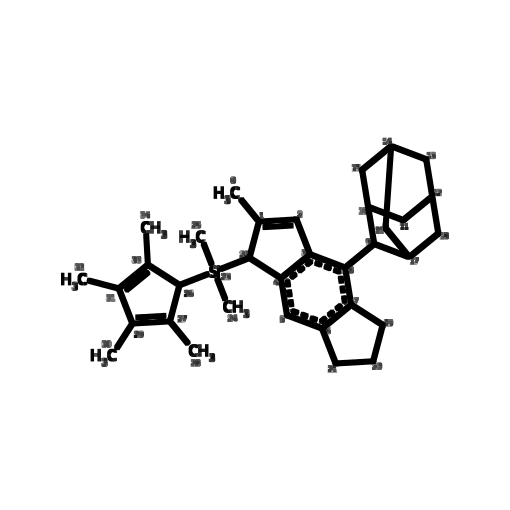 CC1=Cc2c(cc3c(c2C2C4CC5CC(C4)CC2C5)CCC3)C1[Si](C)(C)C1C(C)=C(C)C(C)=C1C